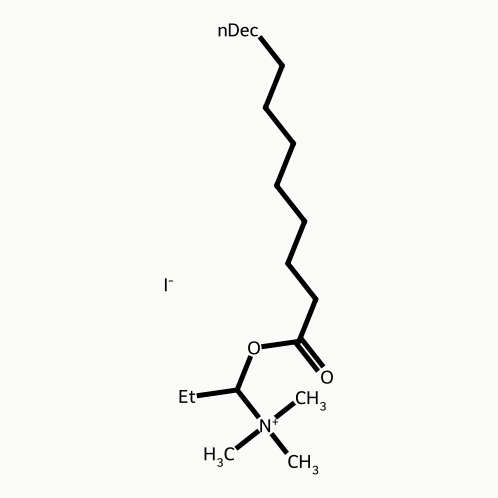 CCCCCCCCCCCCCCCCCC(=O)OC(CC)[N+](C)(C)C.[I-]